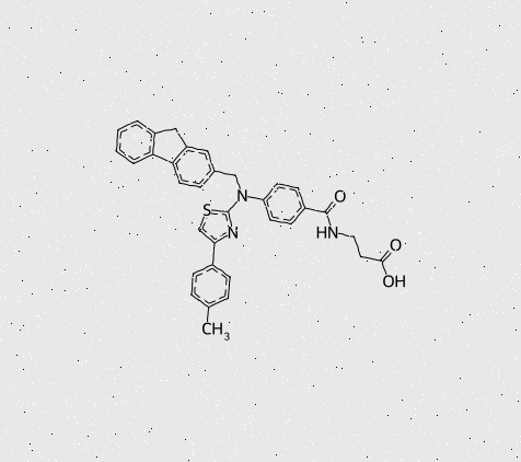 Cc1ccc(-c2csc(N(Cc3ccc4c(c3)Cc3ccccc3-4)c3ccc(C(=O)NCCC(=O)O)cc3)n2)cc1